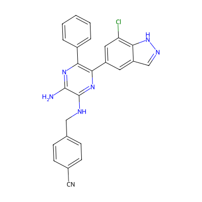 N#Cc1ccc(CNc2nc(-c3cc(Cl)c4[nH]ncc4c3)c(-c3ccccc3)nc2N)cc1